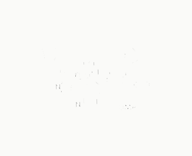 COc1cc(C=O)c(OCc2ccccc2)c2c1C[C@H]1C[C@H]3[C@H](N(C)C)c4onc(OCc5ccccc5)c4C(=O)[C@@]3(O[Si](C)(C)C(C)(C)C)C(O)=C1C2=O